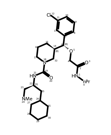 CCCNC(=O)CO[C@@H](c1cccc(Cl)c1)[C@@H]1CCCN(C(=O)N[C@H](CNC)CC2CCCCC2)C1